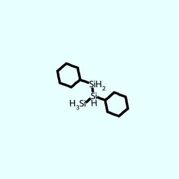 [SiH3][SiH]([SiH2]C1CCCCC1)C1CCCCC1